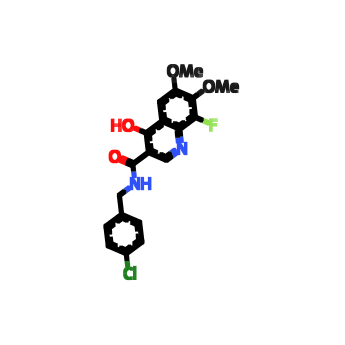 COc1cc2c(O)c(C(=O)NCc3ccc(Cl)cc3)cnc2c(F)c1OC